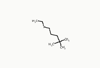 CC[I+]CCCC(C)(C)C